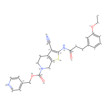 CCOc1cccc(CCC(=O)Nc2sc3c(c2C#N)CCN(C(=O)OCc2ccncc2)C3)c1